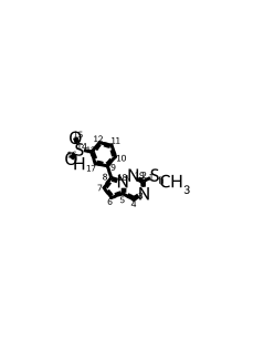 CSc1ncc2ccc(-c3cccc([SH](=O)=O)c3)n2n1